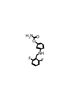 NC(=O)Oc1cccc(NCc2c(F)cccc2F)c1